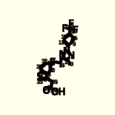 Cc1nn(-c2ccc(C(F)(F)F)cc2)nc1CSc1ccc2scc(CC(=O)O)c2c1